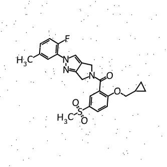 Cc1ccc(F)c(-n2cc3c(n2)CN(C(=O)c2cc(S(C)(=O)=O)ccc2OCC2CC2)C3)c1